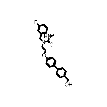 CNC(=O)N(CCOc1ccc(-c2ccc(CO)cc2)cc1)Cc1cccc(F)c1